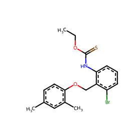 CCOC(=S)Nc1cccc(Br)c1COc1ccc(C)cc1C